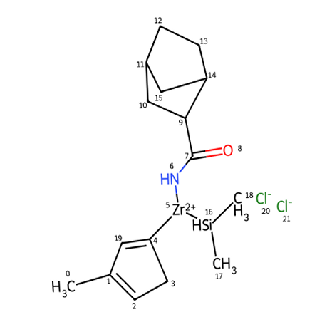 CC1=CC[C]([Zr+2]([NH]C(=O)C2CC3CCC2C3)[SiH](C)C)=C1.[Cl-].[Cl-]